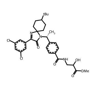 COC(=O)C(O)CNC(=O)c1ccc([C@@H](C)N2C(=O)C(c3cc(Cl)cc(Cl)c3)=NC23CCC(C(C)(C)C)CC3)cc1